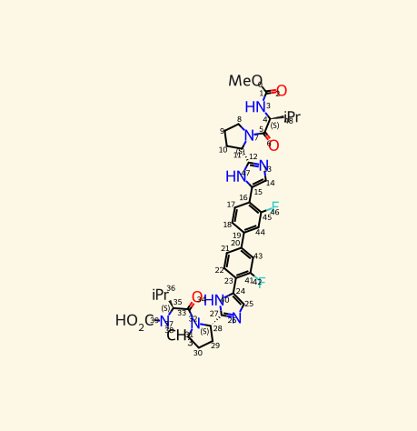 COC(=O)N[C@H](C(=O)N1CCC[C@H]1c1ncc(-c2ccc(-c3ccc(-c4cnc([C@@H]5CCCN5C(=O)[C@H](C(C)C)N(C)C(=O)O)[nH]4)c(F)c3)cc2F)[nH]1)C(C)C